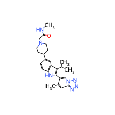 CNC(=O)CN1CCC(c2ccc3[nH]c(-c4cn5nnnc5cc4C)c(C(C)C)c3c2)CC1